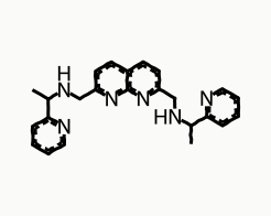 CC(NCc1ccc2ccc(CNC(C)c3ccccn3)nc2n1)c1ccccn1